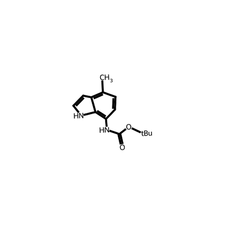 Cc1ccc(NC(=O)OC(C)(C)C)c2[nH]ccc12